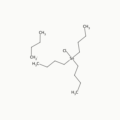 CCC[CH2][Sn]([Cl])([CH2]CCC)[CH2]CCC.[CH2]CCC